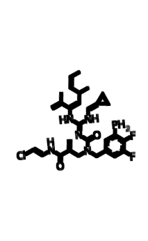 C=C(CN(Cc1cc(F)c(F)c(P)c1)C(=O)/N=C(\NC=C1CC1)N/C(=C/C(C)/C=C\C)C(=C)C)C(=O)N/C=C/Cl